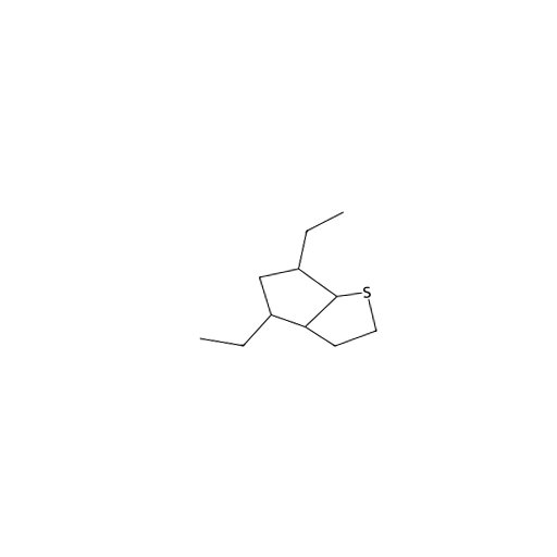 CCC1CC(CC)C2SCCC12